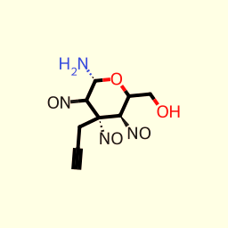 C#CC[C@@]1(N=O)C(N=O)[C@H](N)OC(CO)[C@H]1N=O